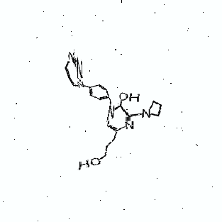 OCCCC1=CN(c2ccc(-n3ccnn3)cc2)C(O)C(N2CCC2)=N1